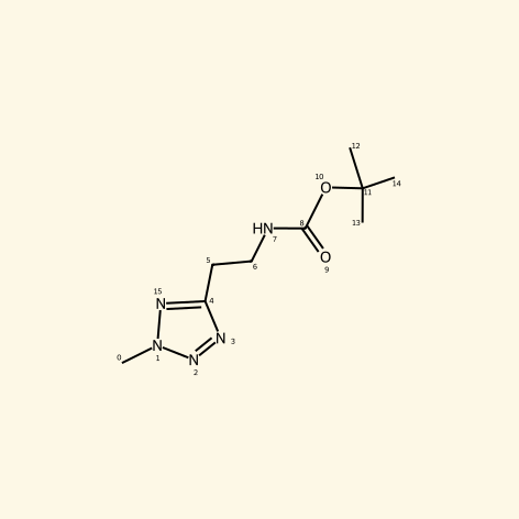 Cn1nnc(CCNC(=O)OC(C)(C)C)n1